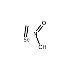 C=[Se].O=NO